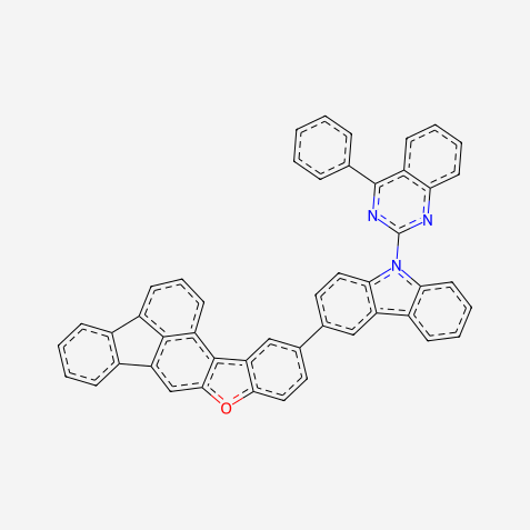 c1ccc(-c2nc(-n3c4ccccc4c4cc(-c5ccc6oc7cc8c9c(cccc9c7c6c5)-c5ccccc5-8)ccc43)nc3ccccc23)cc1